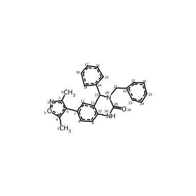 Cc1noc(C)c1-c1ccc2c(c1)C(c1ccccc1)N(Cc1ccccc1)C(=O)N2